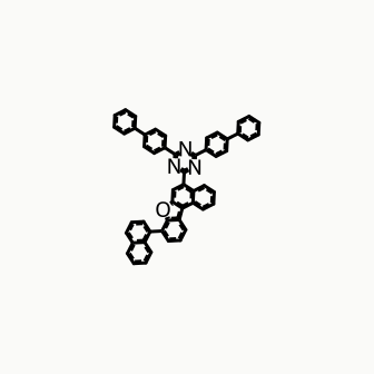 c1ccc(-c2ccc(-c3nc(-c4ccc(-c5ccccc5)cc4)nc(-c4cc5oc6c(-c7cccc8ccccc78)cccc6c5c5ccccc45)n3)cc2)cc1